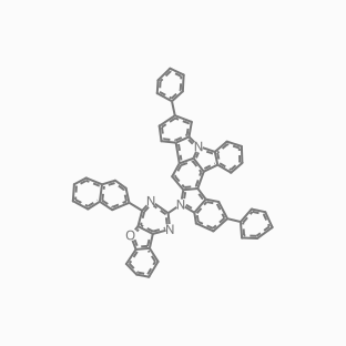 c1ccc(-c2ccc3c(c2)c2c4c5ccccc5n5c6cc(-c7ccccc7)ccc6c(cc2n3-c2nc(-c3ccc6ccccc6c3)c3oc6ccccc6c3n2)c45)cc1